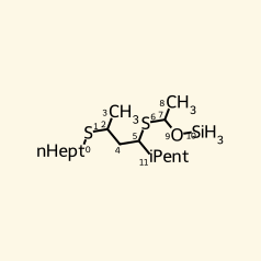 CCCCCCCSC(C)CC(SC(C)O[SiH3])C(C)CCC